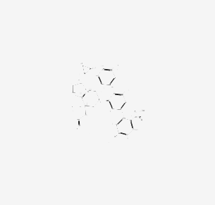 C=CC[C@@]1(C)C[C@H](c2cccc(Cl)c2)[C@@H](c2ccc(Cl)cc2)[N+]2=C1OC[C@@H]2C1CC1.Cc1ccc(S(=O)(=O)[O-])cc1